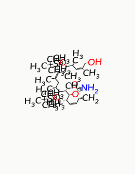 C=C/C=C\[C@H](C)[C@H](OC(N)=O)[C@@H](C)[C@H](O[Si](C)(C)C(C)(C)C)[C@@H](C)C/C(C)=C\[C@H](C)[C@@H](O[Si](C)(C)C(C)(C)C)[C@@H](C)/C=C(/C)CO